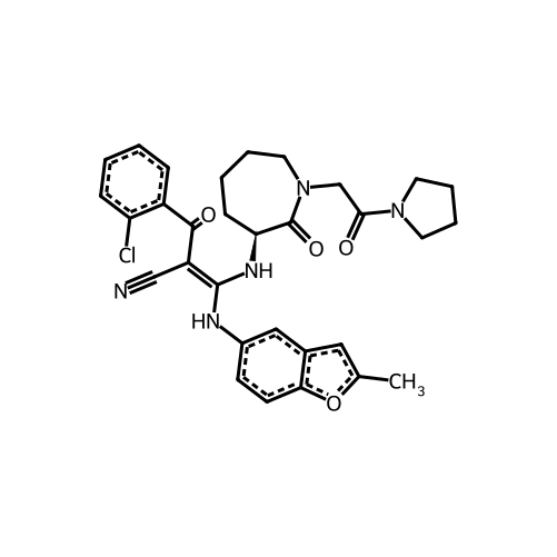 Cc1cc2cc(N/C(N[C@H]3CCCCN(CC(=O)N4CCCC4)C3=O)=C(\C#N)C(=O)c3ccccc3Cl)ccc2o1